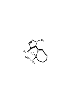 Cn1ncc([N+](=O)[O-])c1N1CCCCCC1(C)C.N